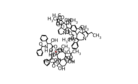 CC(=O)O[C@H]1C(=O)[C@@]2(C)[C@H]([C@H](OC(=O)c3ccccc3)[C@]3(O)C[C@H](OC(=O)[C@H](O)[C@@H](NC(=O)c4ccccc4)c4ccccc4)C(C)=C1C3(C)C)[C@]1(OC(C)=O)CO[C@@H]1C[C@@H]2O.CCC1=C[C@@H]2C[N@](C1)Cc1c([nH]c3ccccc13)[C@@](C(=O)OC)(c1cc3c(cc1OC)N(C)[C@H]1[C@@](O)(C(=O)OC)[C@H](OC(C)=O)[C@]4(CC)C=CCN5CC[C@]31[C@@H]54)C2